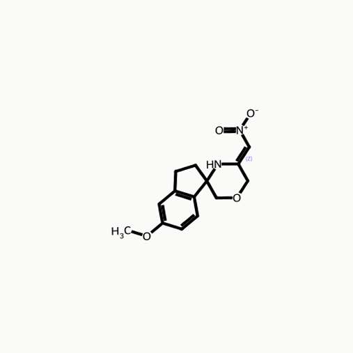 COc1ccc2c(c1)CCC21COC/C(=C/[N+](=O)[O-])N1